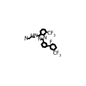 CN(C)CCCNc1nc(-c2cccc(-c3cc(C(F)(F)F)ccc3F)c2)nc2c(C(F)(F)F)cccc12